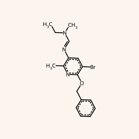 CCN(C)/C=N/c1cc(Br)c(OCc2ccccc2)nc1C